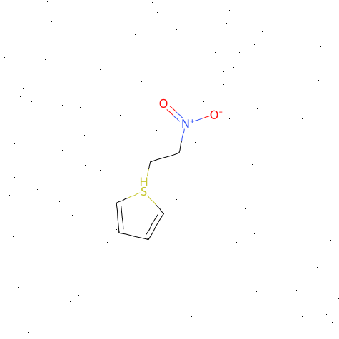 O=[N+]([O-])CC[SH]1C=CC=C1